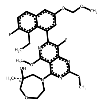 CCc1c(F)ccc2cc(OCOC)cc(-c3nc(OC)c4c(N5CCOC[C@@](C)(O)C5)nc(SC)nc4c3F)c12